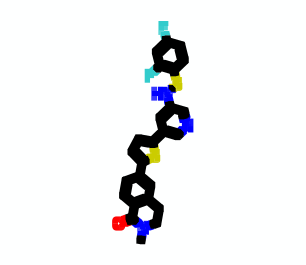 CN1CCc2cc(-c3ccc(-c4cncc(NSc5ccc(F)cc5F)c4)s3)ccc2C1=O